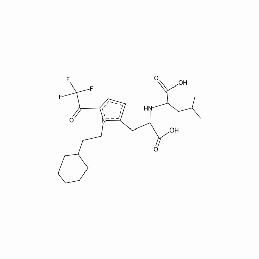 CC(C)CC(NC(Cc1ccc(C(=O)C(F)(F)F)n1CCC1CCCCC1)C(=O)O)C(=O)O